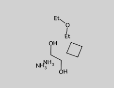 C1CCC1.CCOCC.N.N.OCCO